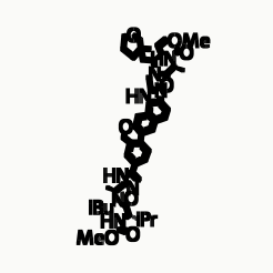 C=CC[C@H](CC1(C)CCCOC1)N(Cc1nc2ccc3cc4c(cc3c2[nH]1)OCc1cc(-c2cnc([C@H](C)N(C(=O)[C@@H](NC(=O)OC)C(C)C)[C@@H](C)CC)[nH]2)ccc1-4)C(=O)[C@H](C)NC(=O)OC